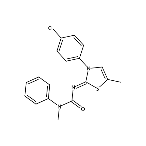 Cc1cn(-c2ccc(Cl)cc2)/c(=N/C(=O)N(C)c2ccccc2)s1